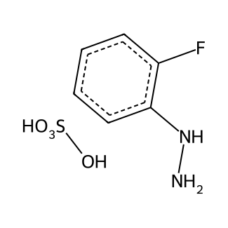 NNc1ccccc1F.O=S(=O)(O)O